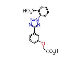 O=C(O)COc1cccc(-c2nnn(-c3ccccc3S(=O)(=O)O)n2)c1